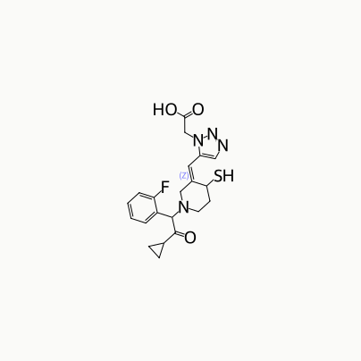 O=C(O)Cn1nncc1/C=C1/CN(C(C(=O)C2CC2)c2ccccc2F)CCC1S